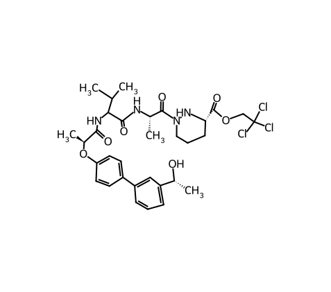 CC(C)C(NC(=O)[C@H](C)Oc1ccc(-c2cccc([C@@H](C)O)c2)cc1)C(=O)N[C@@H](C)C(=O)N1CCC[C@@H](C(=O)OCC(Cl)(Cl)Cl)N1